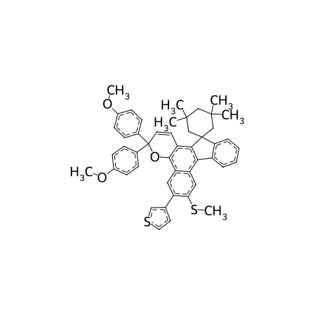 COc1ccc(C2(c3ccc(OC)cc3)C=Cc3c4c(c5cc(SC)c(-c6ccsc6)cc5c3O2)-c2ccccc2C42CC(C)(C)CC(C)(C)C2)cc1